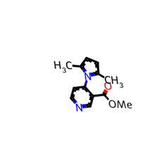 COC(=O)c1cnccc1-n1c(C)ccc1C